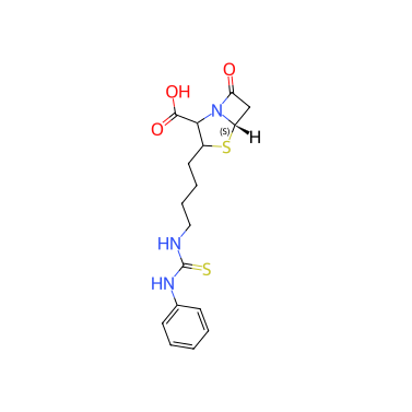 O=C(O)C1C(CCCCNC(=S)Nc2ccccc2)S[C@H]2CC(=O)N12